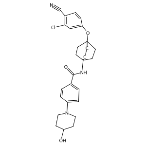 N#Cc1ccc(OC23CCC(NC(=O)c4ccc(N5CCC(O)CC5)cc4)(CC2)CC3)cc1Cl